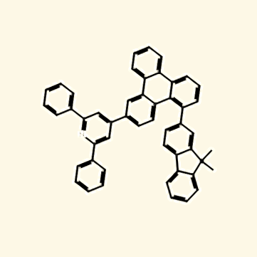 CC1(C)c2ccccc2-c2ccc(-c3cccc4c5ccccc5c5cc(-c6cc(-c7ccccc7)nc(-c7ccccc7)c6)ccc5c34)cc21